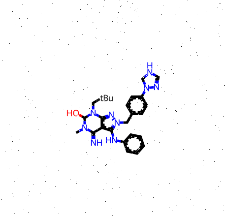 CN1C(=N)c2c(nn(Cc3ccc(N4CNC=N4)cc3)c2Nc2ccccc2)N(CC(C)(C)C)C1O